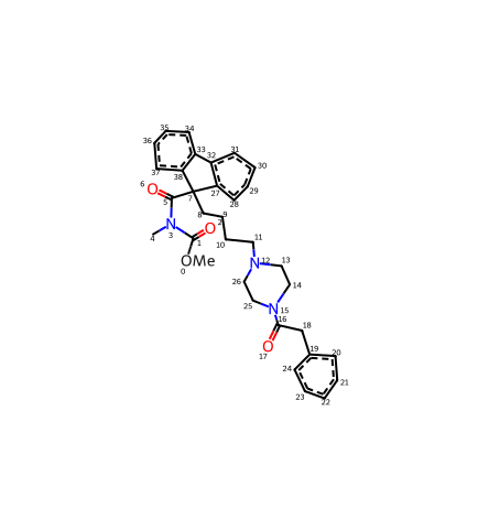 COC(=O)N(C)C(=O)C1(CCCCN2CCN(C(=O)Cc3ccccc3)CC2)c2ccccc2-c2ccccc21